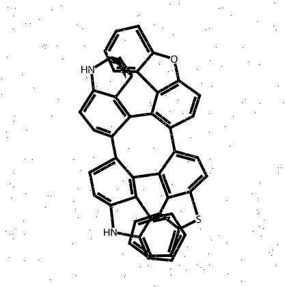 c1ccc2c(c1)[nH]c1ccc3c(c12)-c1c(ccc2oc4ccccc4c12)-c1ccc2sc4ccccc4c2c1-c1c-3ccc2[nH]c3ccccc3c12